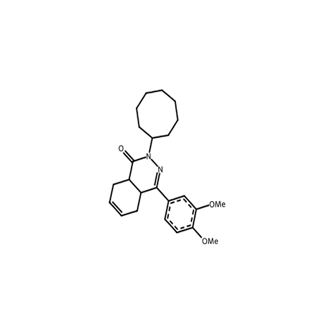 COc1ccc(C2=NN(C3CCCCCCC3)C(=O)C3CC=CCC23)cc1OC